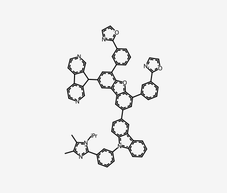 Cc1nc(-c2cccc(-n3c4ccccc4c4cc(-c5cc(-c6cccc(-c7ncco7)c6)c6oc7c(-c8cccc(-c9ncco9)c8)cc(C8c9cnccc9-c9ccncc98)cc7c6c5)ccc43)c2)n(C(C)C)c1C